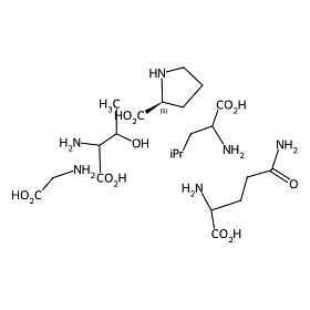 CC(C)CC(N)C(=O)O.CC(O)C(N)C(=O)O.NC(=O)CCC(N)C(=O)O.NCC(=O)O.O=C(O)[C@@H]1CCCN1